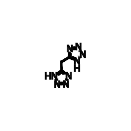 C(c1nnn[nH]1)c1nnn[nH]1